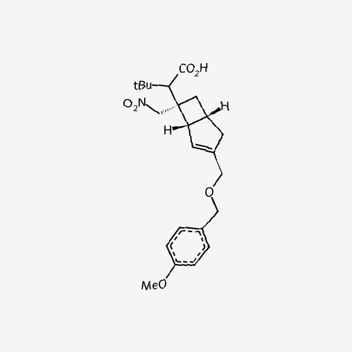 COc1ccc(COCC2=C[C@H]3[C@@H](C2)C[C@]3(C[N+](=O)[O-])C(C(=O)O)C(C)(C)C)cc1